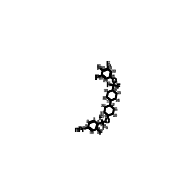 CCCc1ccc(C(F)(F)OC2CCC(C3CCC(C(F)(F)Oc4cc(F)c(F)c(F)c4)CC3)CC2)c(F)c1